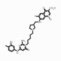 CCc1cc(Nc2cc(=O)n(CCCCCN3CCC(CNc4cc5c(cc4F)c(=O)c(C(=O)O)cn5CC)C3)c(N)n2)ccc1C